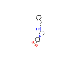 CS(=O)(=O)c1ccc(N2CCCC(NCCCc3ccccc3)C2)cc1